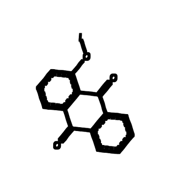 O=C1c2ccccc2C(=O)c2c(OI)cccc21